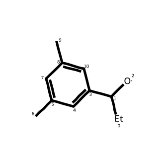 CCC([O])c1cc(C)cc(C)c1